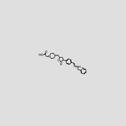 O=C(O)CN1CCN(CC2CC(c3ccc(C=NNCc4ccccn4)cc3)NO2)CC1